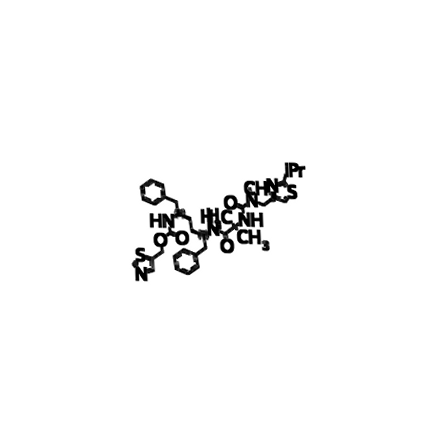 CC(C)c1nc(CN(C)C(=O)NC(C)(C)C(=O)N[C@H](CC[C@H](Cc2ccccc2)NC(=O)OCc2cncs2)Cc2ccccc2)cs1